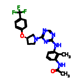 CC(=O)Nc1cccc(Nc2ncnc(N3CC[C@H](Oc4ccc(C(F)(F)F)cc4)C3)n2)c1C